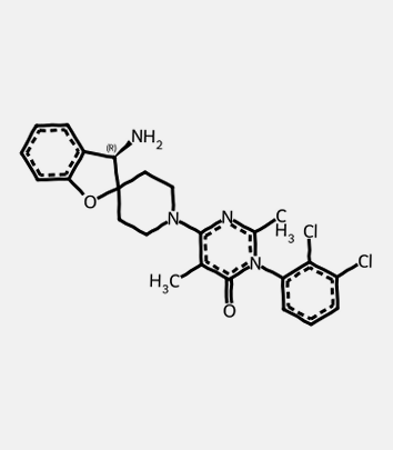 Cc1c(N2CCC3(CC2)Oc2ccccc2[C@H]3N)nc(C)n(-c2cccc(Cl)c2Cl)c1=O